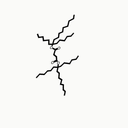 CCCCCCCCCC(CCCCCC)(CCCCCC)OC(=O)CCC(=O)OC(CCCCCC)(CCCCCC)CCCCCCCCC